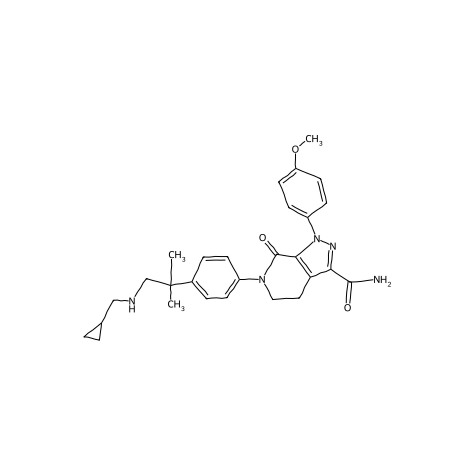 COc1ccc(-n2nc(C(N)=O)c3c2C(=O)N(c2ccc(C(C)(C)CNCC4CC4)cc2)CC3)cc1